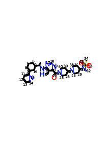 Cc1c(NCC2CCCC(c3ccccn3)C2)ncnc1C(=O)N1CCC(N2CCC(N(C)S(C)(=O)=O)CC2)CC1